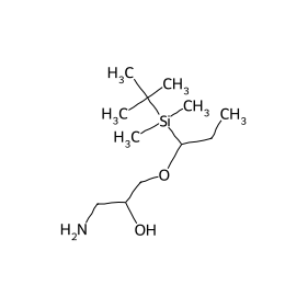 CCC(OCC(O)CN)[Si](C)(C)C(C)(C)C